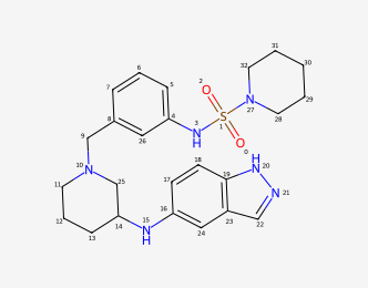 O=S(=O)(Nc1cccc(CN2CCCC(Nc3ccc4[nH]ncc4c3)C2)c1)N1CCCCC1